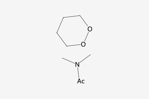 C1CCOOC1.CC(=O)N(C)C